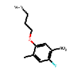 COCCCOc1cc([N+](=O)[O-])c(F)cc1C